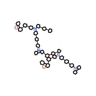 c1ccc(-c2ccc(-c3cccc(N(c4ccc(-c5ccc(-c6ccc(-n7c8ccccc8c8cc(-c9cccc(-c%10ccc(-c%11ccccc%11N(c%11ccc(-c%12ccc(-c%13ccc(-n%14c%15ccccc%15c%15ccccc%15%14)cc%13)cc%12)cc%11)c%11ccc(-c%12cccc(-c%13cccc%14oc%15ccccc%15c%13%14)c%12)cc%11)cc%10)c9)ccc87)cc6)cc5)cc4)c4ccc(-c5cccc(-c6cccc7oc8ccccc8c67)c5)cc4)c3)cc2)cc1